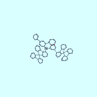 c1ccc(-c2ccc(N(c3cccc(-c4cccc5c4-c4ccccc4C54c5ccccc5-c5ccccc54)c3)c3cccc4c3-c3ccccc3C43c4ccccc4-c4ccccc43)c(-c3ccccc3)c2)cc1